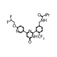 CC(C)C(=O)NCc1ccc(C(F)(F)F)c(-c2nc(-c3ccc(OCC(F)F)nc3)cc(=O)[nH]2)c1